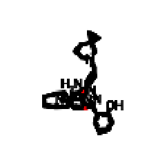 Nc1nnc(-c2ccccc2O)cc1N1CC2CCC(C1)N2c1ccnc(C#CCN2CCCC3(CC3)C2)c1